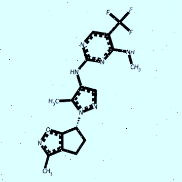 CNc1nc(Nc2cnn([C@@H]3CCc4c(C)noc43)c2C)ncc1C(F)(F)F